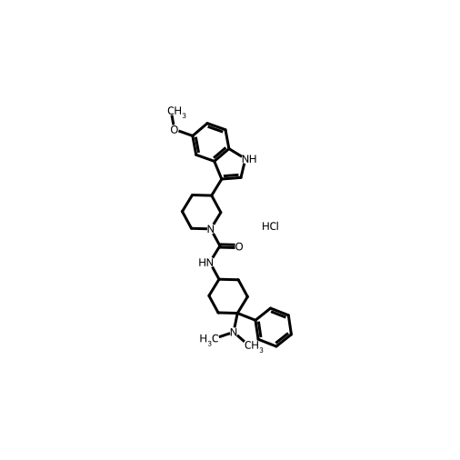 COc1ccc2[nH]cc(C3CCCN(C(=O)NC4CCC(c5ccccc5)(N(C)C)CC4)C3)c2c1.Cl